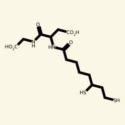 O=C(O)CNC(=O)C(CC(=O)O)NC(=O)CCCCC(S)CCS